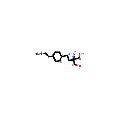 CCCCCCCCCCCCC1CCC(CCC(N)(CO)CO)CC1